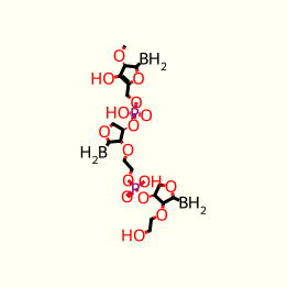 BC1OC[C@H](OP(=O)(O)OCCOC2C(B)OC[C@@H]2OP(=O)(O)OCC2=C(O)[C@H](OC)C(B)O2)C1OCCO